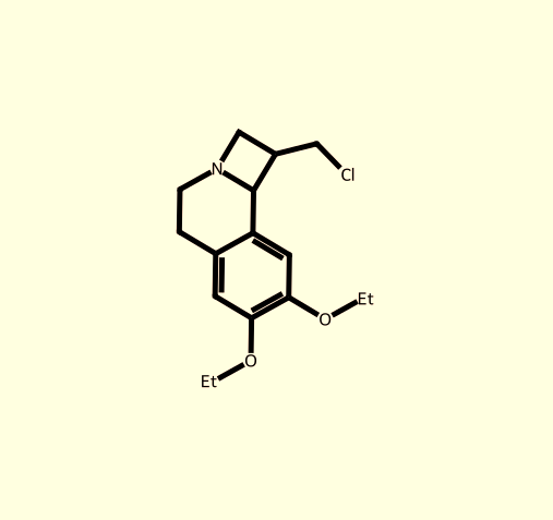 CCOc1cc2c(cc1OCC)C1C(CCl)CN1CC2